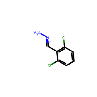 N/N=C/c1c(Cl)cccc1Cl